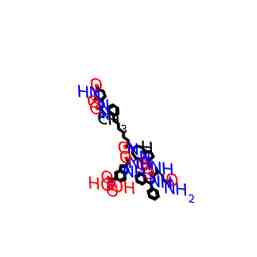 Cn1c(=O)n(C2CCC(=O)NC2=O)c2cccc(CCCCCCC(=O)N3CC[C@H]4CC[C@@H](C(=O)N[C@@H](CCC(N)=O)C(=O)NC(c5ccccc5)c5ccccc5)N4C(=O)[C@@H](NC(=O)c4cc5cc(C(=O)P(=O)(O)O)ccc5[nH]4)C3)c21